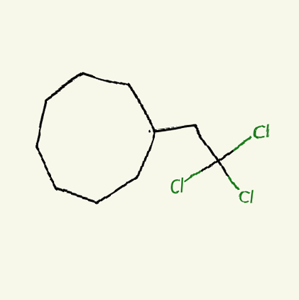 ClC(Cl)(Cl)C[C]1CCCCCCC1